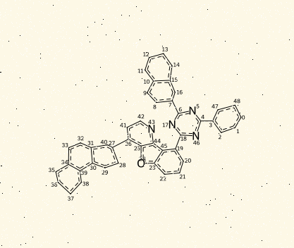 c1ccc(-c2nc(-c3ccc4ccccc4c3)nc(-c3cccc4oc5c(-c6ccc7c(ccc8ccccc87)c6)ccnc5c34)n2)cc1